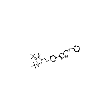 CC(C)(C)OC(=O)C(COc1ccc(-c2cc(COCc3ccccc3)[nH]n2)cc1)O[Si](C)(C)C(C)(C)C